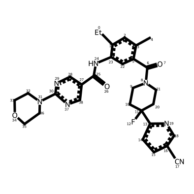 CCc1cc(C)c(C(=O)N2CCC(F)(c3ccc(C#N)cn3)CC2)cc1NC(=O)c1cnc(N2CCOCC2)nc1